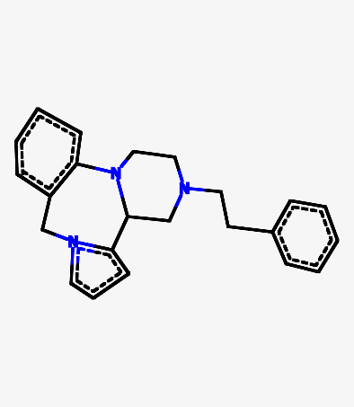 c1ccc(CCN2CCN3c4ccccc4Cn4cccc4C3C2)cc1